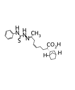 CC(C/C=C\CCC(C(=O)O)[C@@H]1C[C@H]2CC[C@H]1C2)=NNC(=S)Nc1ccccc1